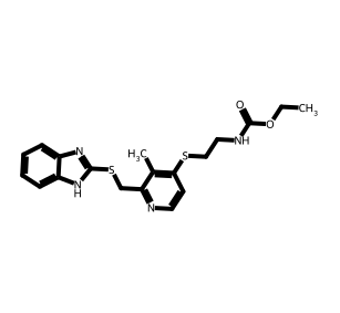 CCOC(=O)NCCSc1ccnc(CSc2nc3ccccc3[nH]2)c1C